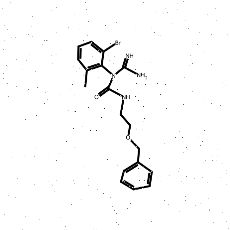 Cc1cccc(Br)c1N(C(=N)N)C(=O)NCCOCc1ccccc1